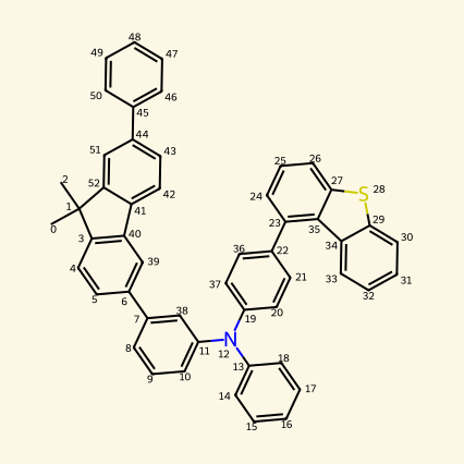 CC1(C)c2ccc(-c3cccc(N(c4ccccc4)c4ccc(-c5cccc6sc7ccccc7c56)cc4)c3)cc2-c2ccc(-c3ccccc3)cc21